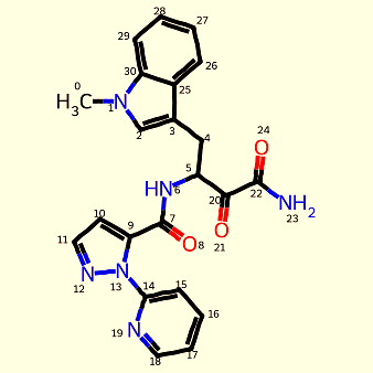 Cn1cc(CC(NC(=O)c2ccnn2-c2ccccn2)C(=O)C(N)=O)c2ccccc21